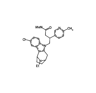 CCN1C2CCC1c1c(n(CC(CC(=O)NC)c3ccc(C)nc3)c3ccc(Cl)cc13)C2